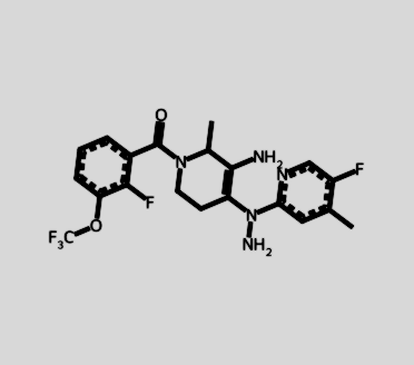 Cc1cc(N(N)C2=C(N)C(C)N(C(=O)c3cccc(OC(F)(F)F)c3F)CC2)ncc1F